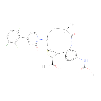 COC(=O)Nc1ccc2c(c1)NC(=O)[C@H](C)CCC[C@H](n1ccc(-c3c(F)ccc(Cl)c3F)cc1=O)c1cc-2c(C(C)=O)s1